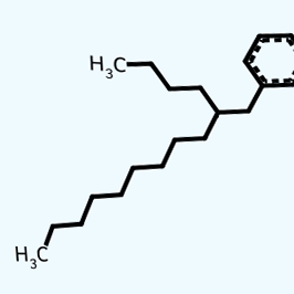 CCCCCCCCC[C](CCCC)Cc1ccccc1